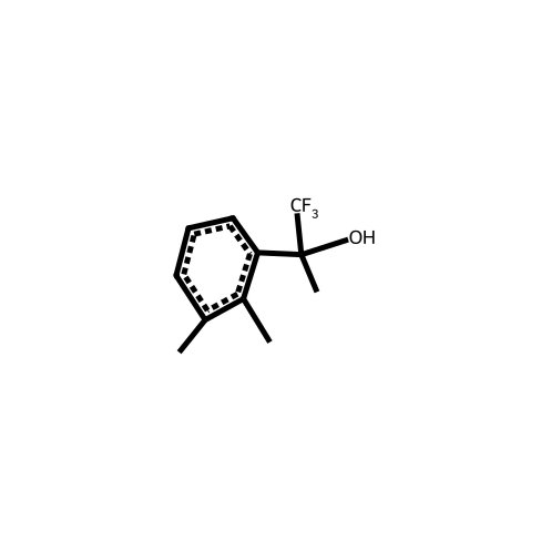 Cc1cccc(C(C)(O)C(F)(F)F)c1C